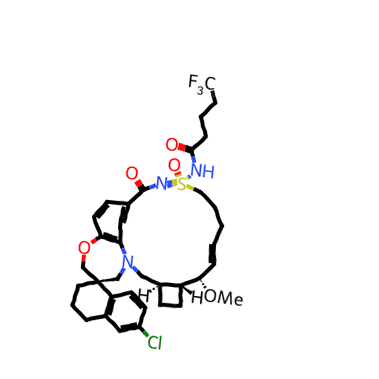 CO[C@H]1/C=C/CCCS(=O)(NC(=O)CCCC(F)(F)F)=NC(=O)c2ccc3c(c2)N(C[C@@H]2CC[C@H]21)C[C@@]1(CCCc2cc(Cl)ccc21)CO3